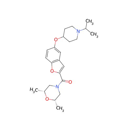 CC(C)N1CCC(Oc2ccc3oc(C(=O)N4C[C@@H](C)O[C@@H](C)C4)cc3c2)CC1